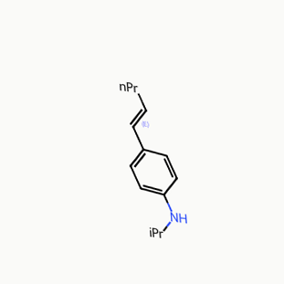 CCC/C=C/c1ccc(NC(C)C)cc1